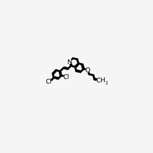 C=CCCOc1ccc2c(c1)CCN=C2C=Cc1ccc(Cl)cc1Cl